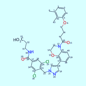 Cc1cccc(OCCCC(=O)N2CCOc3c(-c4cnn(Cc5c(Cl)cc(C(=O)NCCC(=O)O)cc5Cl)c4)cccc32)c1C